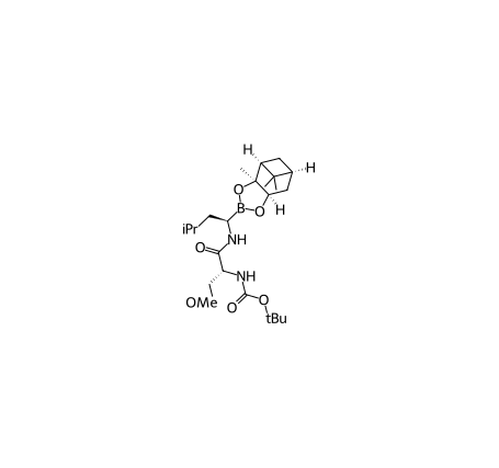 COC[C@@H](NC(=O)OC(C)(C)C)C(=O)N[C@@H](CC(C)C)B1O[C@@H]2C[C@@H]3C[C@@H](C3(C)C)[C@]2(C)O1